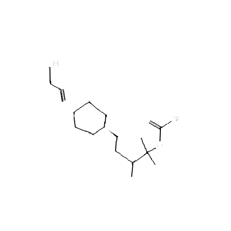 CC(CC[C@H]1CC[C@H](/C=C/CO)CC1)C(C)(C)OC(N)=O